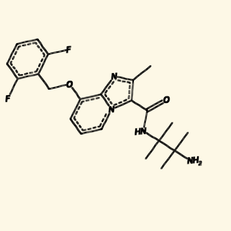 Cc1nc2c(OCc3c(F)cccc3F)cccn2c1C(=O)NC(C)(C)C(C)(C)N